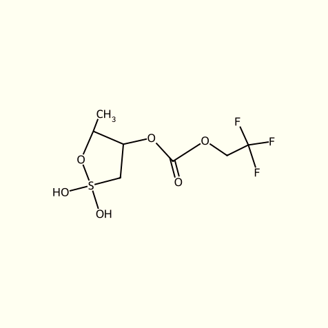 CC1OS(O)(O)CC1OC(=O)OCC(F)(F)F